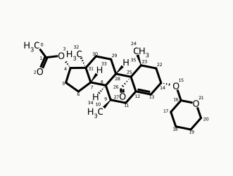 CC(=O)O[C@H]1CC[C@H]2[C@@H]3[C@H](C)CC4=C[C@@H](OC5CCCCO5)C[C@H](C)[C@]4(C=O)[C@H]3CC[C@]12C